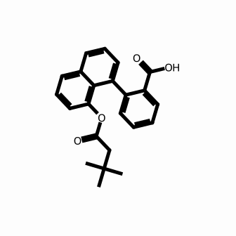 CC(C)(C)CC(=O)Oc1cccc2cccc(-c3ccccc3C(=O)O)c12